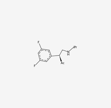 CC(=O)[C@H](CNC(C)C)c1cc(F)cc(F)c1